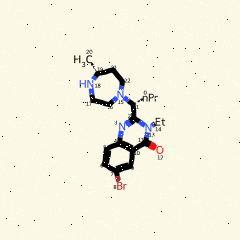 CCC[C@H](c1nc2ccc(Br)cc2c(=O)n1CC)N1CCN[C@H](C)CC1